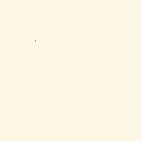 CC1=C(c2cccc(O)c2)C(c2ccc(OCC(C)N3[C@H](C)CC[C@H]3C)cc2)Oc2ccc(O)cc21